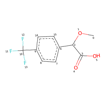 COC(C(=O)O)c1ccc(C(F)(F)F)cc1